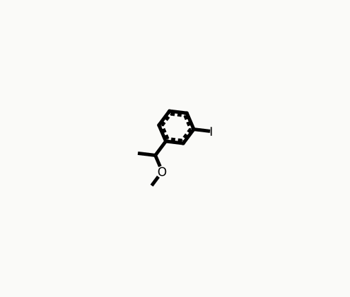 COC(C)c1cccc(I)c1